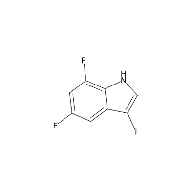 Fc1cc(F)c2[nH]cc(I)c2c1